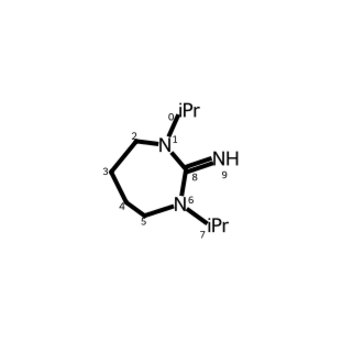 CC(C)N1CCCCN(C(C)C)C1=N